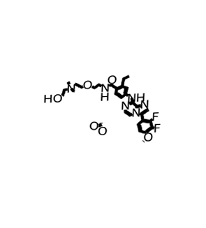 CCc1cc(Nc2nccn3c(-c4ccc(OC)c(F)c4F)cnc23)ccc1C(=O)NCCOCC[N+](C)(C)CCO.O=C[O-]